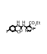 CCOC(=O)c1c(NC(=O)Nc2ccc(I)cc2Cl)ncn1C